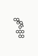 c1ccc2c(-c3c4ccccc4c(-c4ccc5c(c4)sc4ccc6c7ccc8ccccc8c7oc6c45)c4ccccc34)cccc2c1